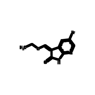 CCOC=C1C(=O)Nc2ncc(Br)cc21